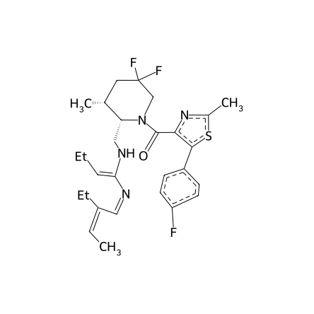 C\C=C(/C=N\C(=C\CC)NC[C@@H]1[C@H](C)CC(F)(F)CN1C(=O)c1nc(C)sc1-c1ccc(F)cc1)CC